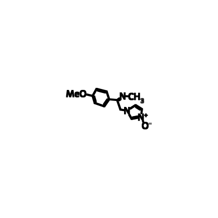 CN=C(Cn1cc[n+]([O-])c1)c1ccc(OC)cc1